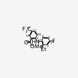 CCc1cc(F)ccc1Nc1ccc(C(F)(F)F)cc1C(=O)OC